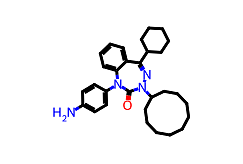 Nc1ccc(N2C(=O)N(C3CCCCCCCCC3)N=C(C3CCCCC3)c3ccccc32)cc1